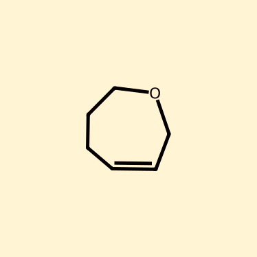 C1=CCOCCC1